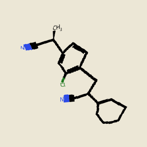 C[C@H](C#N)c1ccc(CC(C#N)C2CCCCC2)c(Cl)c1